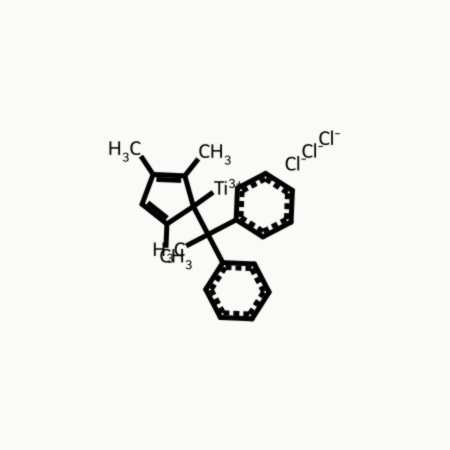 CC1=CC(C)=C(C)[C]1([Ti+3])C(C)(c1ccccc1)c1ccccc1.[Cl-].[Cl-].[Cl-]